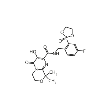 CC1(C)OCCn2c1nc(C(=O)NCc1ccc(F)cc1P1(=O)OCCO1)c(O)c2=O